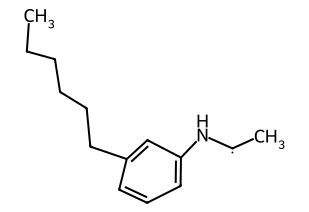 C[CH]Nc1cccc(CCCCCC)c1